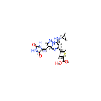 O=C1NC(=O)/C(=C/c2cnn3c(NC4CC4)cc(-c4csc(C(=O)O)c4)nc23)N1